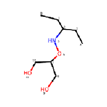 CCC(CC)NOC(CO)CO